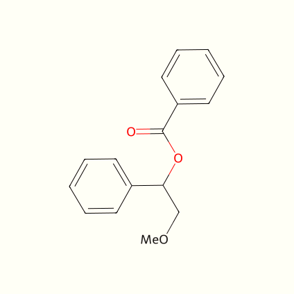 COCC(OC(=O)c1ccccc1)c1ccccc1